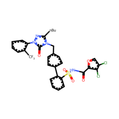 CCCCc1nn(-c2ccccc2C(F)(F)F)c(=O)n1Cc1ccc(-c2ccccc2S(=O)(=O)NC(=O)c2occ(Cl)c2Cl)cc1